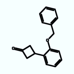 O=C1CC(c2ccccc2OCc2ccccc2)C1